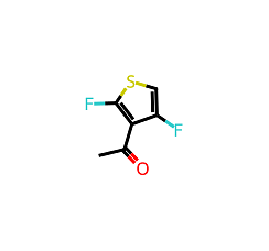 CC(=O)c1c(F)csc1F